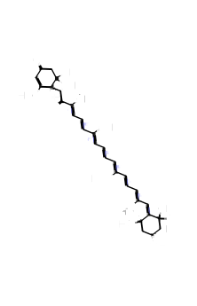 CC1=CC(=O)CC(C)(C)[C@@]1(O)CC(=O)/C(C)=C/C=C/C(C)=C/C=C/C=C(C)/C=C/C=C(C)/C=C1/C(C)(C)C[C@H](O)C[C@@]1(C)O